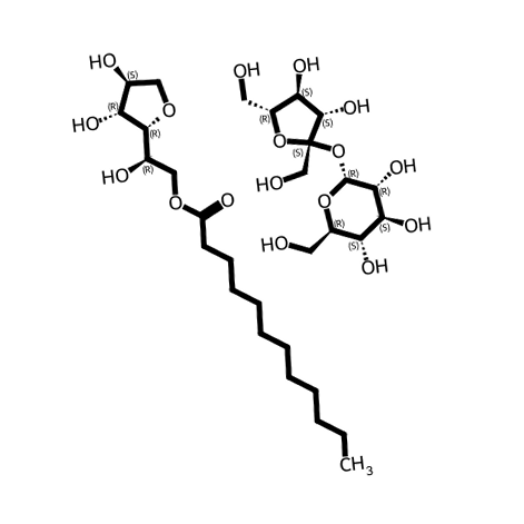 CCCCCCCCCCCC(=O)OC[C@@H](O)[C@H]1OC[C@H](O)[C@H]1O.OC[C@H]1O[C@@](CO)(O[C@H]2O[C@H](CO)[C@@H](O)[C@H](O)[C@H]2O)[C@@H](O)[C@@H]1O